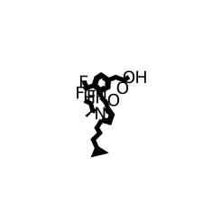 CC[C@H](C)n1c(CCCC2CC2)ccc1C(=O)Nc1cc(CC(=O)O)ccc1C(F)(F)F